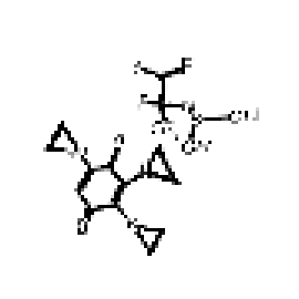 O=C1C=C(N2CC2)C(=O)C(N2CC2)=C1N1CC1.OB(O)OC(F)(C(F)F)C(F)(F)F